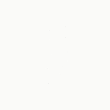 CC(C)(C)c1nc2ncc(-c3cncc(Cl)c3)cn2n1